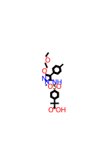 CCOCCOc1nn(C)c(NS(=O)(=O)c2ccc(C(C)(C)C(=O)O)cc2)c1-c1ccc(C)cc1